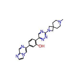 CN1CCC2(CC1)CN(c1ncc(-c3ccc(-c4cn5ccnc5cn4)cc3O)nn1)C2